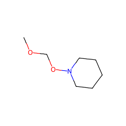 COCON1CCCCC1